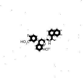 C[C@@H](NC[C@H]1C[C@@H](c2ccc(F)c(C(=O)O)c2)c2ccccc2O1)c1cccc2ccccc12.Cl